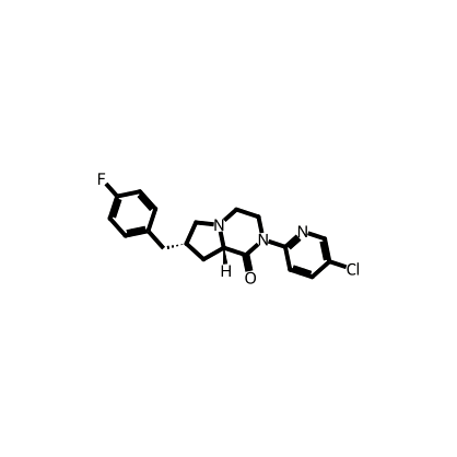 O=C1[C@@H]2C[C@H](Cc3ccc(F)cc3)CN2CCN1c1ccc(Cl)cn1